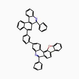 c1ccc(-c2nc3ccccc3c3c2cc(-c2cccc(-c4ccc5c(c4)nc(-c4ccccc4)c4ccc6c7ccccc7oc6c45)c2)c2ccccc23)cc1